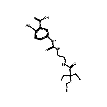 CCSC(CC)(CC)C(=O)NCCNC(=O)Nc1ccc(O)c(C(=O)O)c1